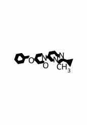 Cc1c(C2CC2)nc2ccc(-n3ccc(OCc4ccccc4)cc3=O)cn12